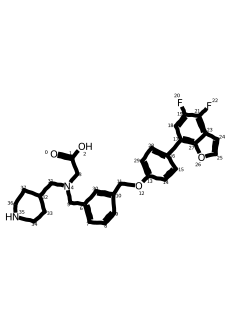 O=C(O)CN(Cc1cccc(COc2ccc(-c3cc(F)c(F)c4ccoc34)cc2)c1)CC1CCNCC1